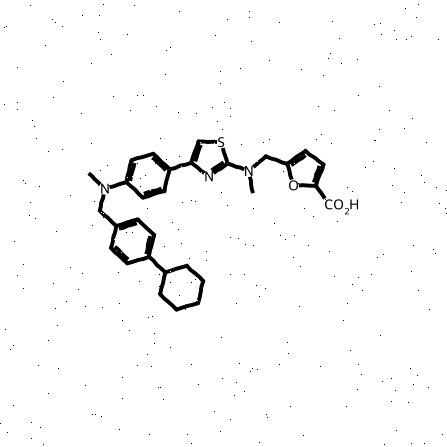 CN(Cc1ccc(C2CCCCC2)cc1)c1ccc(-c2csc(N(C)Cc3ccc(C(=O)O)o3)n2)cc1